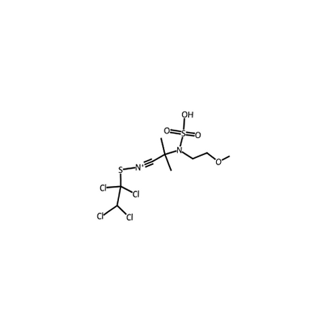 COCCN(C(C)(C)C#[N+]SC(Cl)(Cl)C(Cl)Cl)S(=O)(=O)O